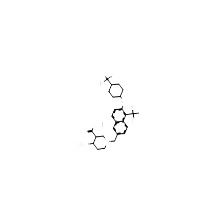 O=C(O)C1CN(Cc2ccc3c(C(F)(F)F)c(OC4CCC(C(F)(F)F)CC4)ccc3c2)CCC1O